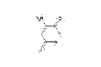 C=C(Br)/C=C(\C(=C)F)[N+](=O)[O-]